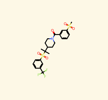 CC(C)(C1CCN(C(=O)c2cccc(S(C)(=O)=O)c2)CC1)S(=O)(=O)c1cccc(C(F)(F)F)c1